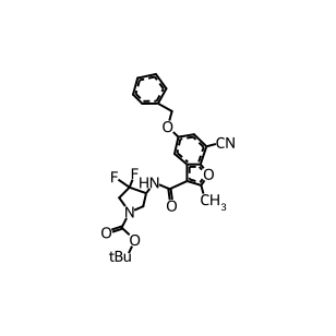 Cc1oc2c(C#N)cc(OCc3ccccc3)cc2c1C(=O)NC1CN(C(=O)OC(C)(C)C)CC1(F)F